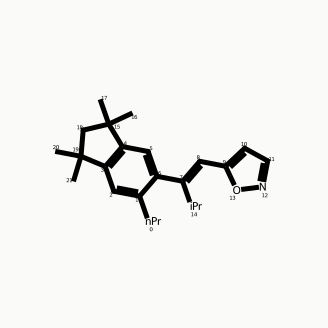 CCCc1cc2c(cc1/C(=C/c1ccno1)C(C)C)C(C)(C)CC2(C)C